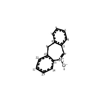 [O-][N+]1=Cc2ccccc2Cc2ccccc21